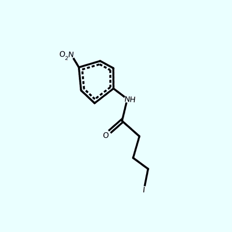 O=C(CCCI)Nc1ccc([N+](=O)[O-])cc1